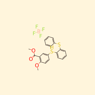 COC(=O)c1cc([SH]2c3ccccc3Sc3ccccc32)ccc1OC.F[B-](F)(F)F